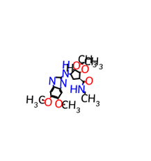 CCNC(=O)[C@H]1C[C@@H](Nc2cnc3cc(OC)c(OC)cc3n2)[C@@H]2OC(C)(C)OC12